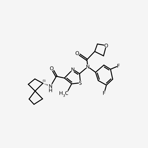 Cc1sc(N(C(=O)C2COC2)c2cc(F)cc(F)c2)nc1C(=O)N[C@H]1CCC12CCC2